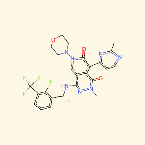 Cc1nccc(-c2c(=O)n(N3CCOCC3)cc3c(N[C@H](C)c4cccc(C(F)(F)F)c4F)nn(C)c(=O)c23)n1